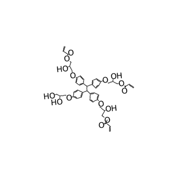 C=CC(=O)OCC(O)COc1ccc(C(c2ccc(OCC(O)CO)cc2)C(c2ccc(OCC(O)COC(=O)C=C)cc2)c2ccc(OCC(O)COC(=O)C=C)cc2)cc1